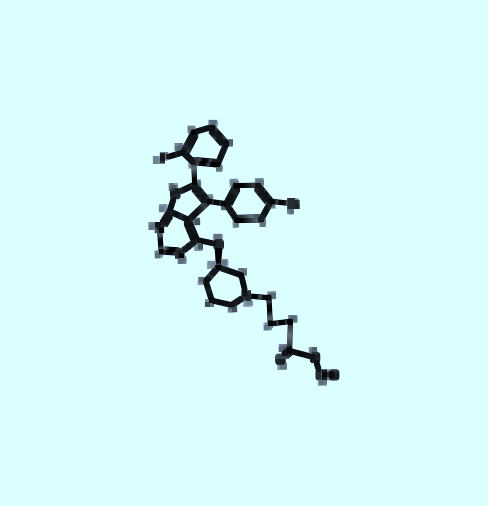 CCc1ccc(-c2c(-c3ccccc3F)oc3ncnc(O[C@@H]4CCCN(CCCC(=O)OC=O)C4)c23)cc1